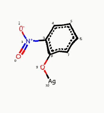 O=[N+]([O-])c1ccccc1[O][Ag]